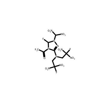 O=C(N1C(N(CC(F)([N+](=O)[O-])[N+](=O)[O-])CC(F)([N+](=O)[O-])[N+](=O)[O-])=NN(C([N+](=O)[O-])[N+](=O)[O-])C1F)C(F)(F)F